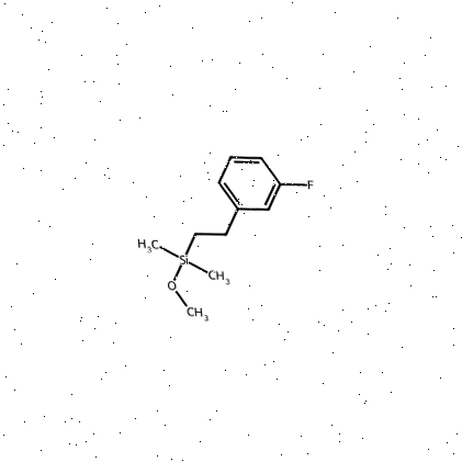 CO[Si](C)(C)CCc1cccc(F)c1